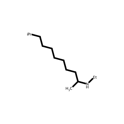 CCNC(C)CCCCCCCC(C)C